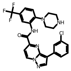 O=C(Nc1cc(C(F)(F)F)ccc1N1CCNCC1)c1ccn2ncc(-c3cccc(Cl)c3)c2n1